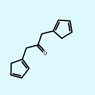 O=C(CC1=CC=CC1)CC1=CC=CC1